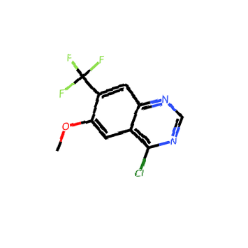 COc1cc2c(Cl)ncnc2cc1C(F)(F)F